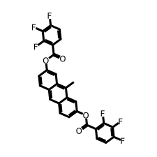 Cc1c2cc(OC(=O)c3ccc(F)c(F)c3F)ccc2cc2ccc(OC(=O)c3ccc(F)c(F)c3F)cc12